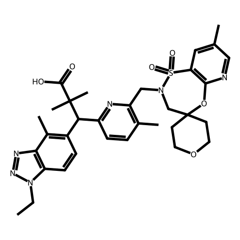 CCn1nnc2c(C)c(C(c3ccc(C)c(CN4CC5(CCOCC5)Oc5ncc(C)cc5S4(=O)=O)n3)C(C)(C)C(=O)O)ccc21